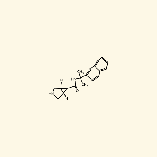 CC(C)(NC(=O)[C@H]1[C@@H]2CNC[C@@H]21)c1ccc2ccccc2n1